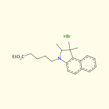 Br.CCOC(=O)CCCCN1c2ccc3ccccc3c2C(C)(C)C1C